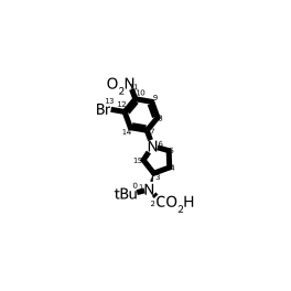 CC(C)(C)N(C(=O)O)[C@H]1CCN(c2ccc([N+](=O)[O-])c(Br)c2)C1